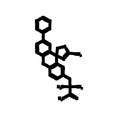 CC(=O)C(C)(C)Cc1ccc2c(c1)C1(CSC(N)=N1)c1cc(-c3cncnc3)ccc1O2